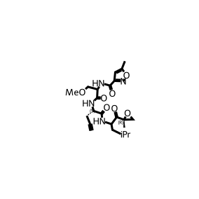 C#CC[C@H](NC(=O)C(COC)NC(=O)c1cc(C)on1)C(=O)NC(CC(C)C)C(=O)[C@@]1(C)CO1